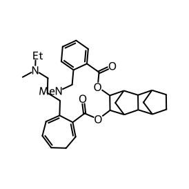 CCN(C)CCCC1=CC=CCC=C1C(=O)OC1C2CC(C1OC(=O)c1ccccc1CNC)C1C3CCC(C3)C21